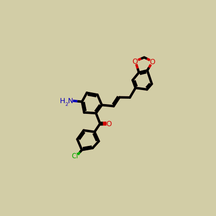 Nc1ccc(/C=C/Cc2ccc3c(c2)OCO3)c(C(=O)c2ccc(Cl)cc2)c1